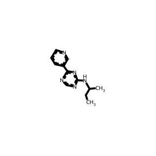 CCC(C)Nc1ncnc(-c2[c]nccc2)n1